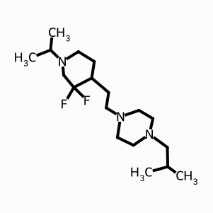 CC(C)CN1CCN(CCC2CCN(C(C)C)CC2(F)F)CC1